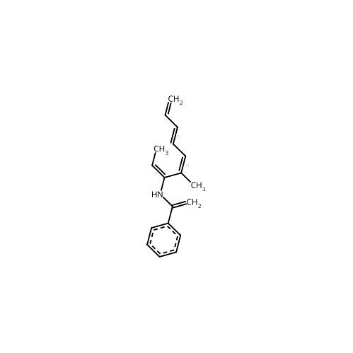 C=C/C=C/C=C(C)\C(=C/C)NC(=C)c1ccccc1